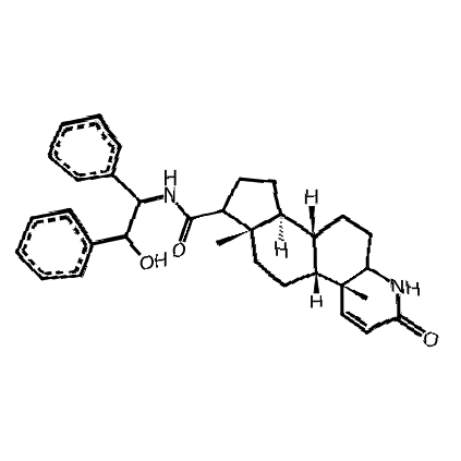 C[C@]12C=CC(=O)NC1CC[C@@H]1[C@H]2CC[C@]2(C)C(C(=O)NC(c3ccccc3)C(O)c3ccccc3)CC[C@@H]12